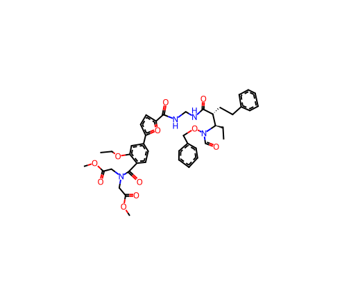 CCOc1cc(-c2ccc(C(=O)NCNC(=O)[C@H](CCc3ccccc3)[C@@H](CC)N(C=O)OCc3ccccc3)o2)ccc1C(=O)N(CC(=O)OC)CC(=O)OC